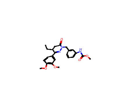 CCC1CC(=O)N(Cc2cccc(NC(=O)OC)c2)N=C1c1ccc(OC)c(OC)c1